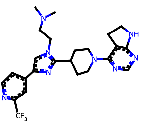 CN(C)CCn1cc(-c2ccnc(C(F)(F)F)c2)nc1C1CCN(c2ncnc3c2CCN3)CC1